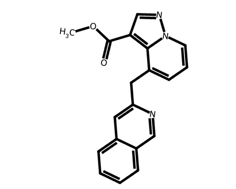 COC(=O)c1cnn2cccc(Cc3cc4ccccc4cn3)c12